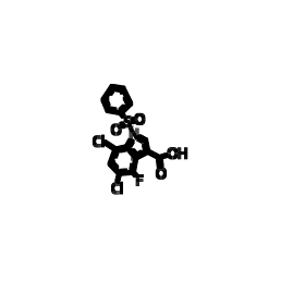 O=C(O)c1cn(S(=O)(=O)c2ccccc2)c2c(Cl)cc(Cl)c(F)c12